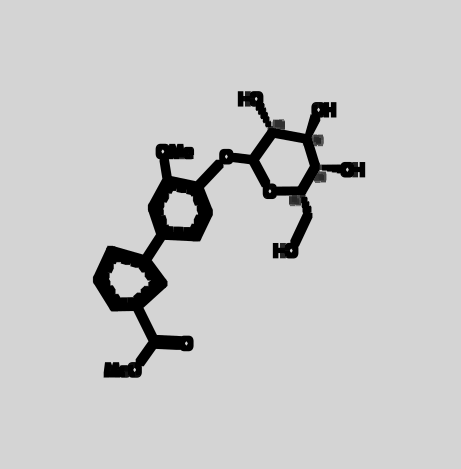 COC(=O)c1cccc(-c2ccc(OC3O[C@@H](CO)[C@@H](O)[C@H](O)[C@H]3O)c(OC)c2)c1